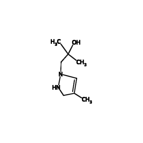 CC1=CN(CC(C)(C)O)NC1